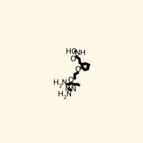 CCc1nc(N)nc(N)c1OCCCOc1ccccc1CCC(=O)NO